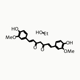 CCO.COc1cc(/C=C/C(=O)CC(=O)/C=C/c2ccc(O)c(OC)c2)ccc1O